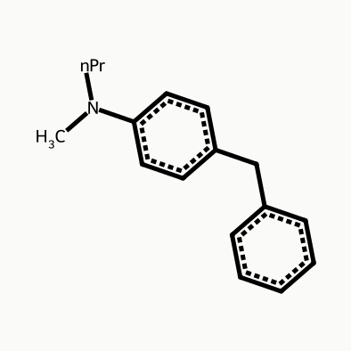 CCCN(C)c1ccc(Cc2ccccc2)cc1